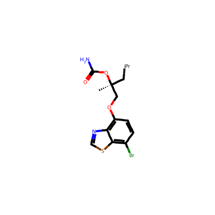 CC(C)C[C@@](C)(COc1ccc(Br)c2scnc12)OC(N)=O